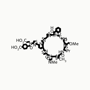 CNC(=O)C[C@@H]1NC(=O)c2csc(n2)-c2ccc(-c3nc(N(CCC(=O)O)C(=O)C4CCC(C(=O)O)CC4)cs3)nc2-c2csc(n2)-c2csc(n2)[C@H]([C@@H](O)c2ccccc2)NC(=O)CNC(=O)c2nc(sc2COC)C(C(C)C)NC(=O)c2nc1sc2C